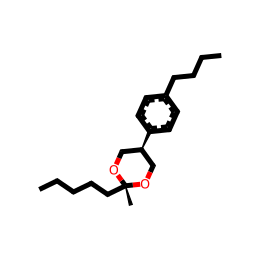 CCCCC[C@]1(C)OC[C@@H](c2ccc(CCCC)cc2)CO1